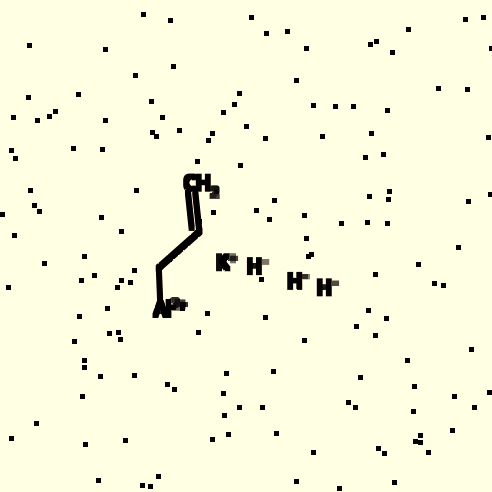 C=C[CH2][Al+2].[H-].[H-].[H-].[K+]